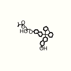 C=C(C)C(=O)OCC(O)COc1ccc2cc(C3(c4ccc5cc(O)ccc5c4)c4ccccc4-c4ccccc43)ccc2c1